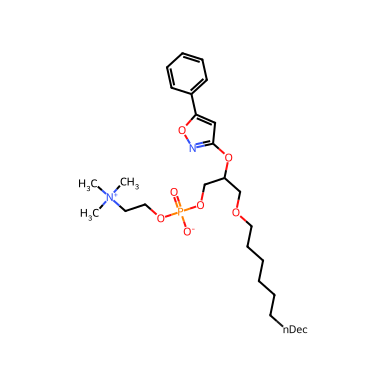 CCCCCCCCCCCCCCCCOCC(COP(=O)([O-])OCC[N+](C)(C)C)Oc1cc(-c2ccccc2)on1